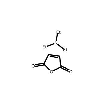 CCN(CC)CC.O=C1C=CC(=O)O1